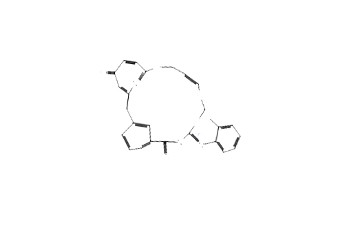 Cc1ccccc1/N=C1\CCC/C=C\COc2ccc(=O)cc(n2)Cc2cccc(c2)C(=O)N1